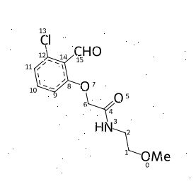 COCCNC(=O)COc1cccc(Cl)c1C=O